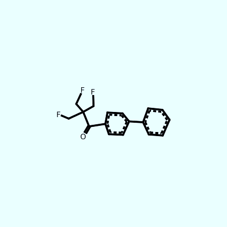 O=C(c1ccc(-c2ccccc2)cc1)C(CF)(CF)CF